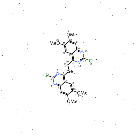 COc1cc2nc(Cl)nc([Se][Se]c3nc(Cl)nc4cc(OC)c(OC)cc34)c2cc1OC